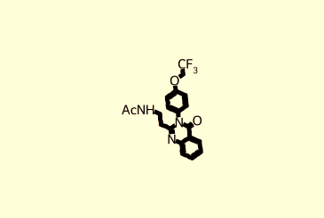 CC(=O)NCCc1nc2ccccc2c(=O)n1-c1ccc(OCC(F)(F)F)cc1